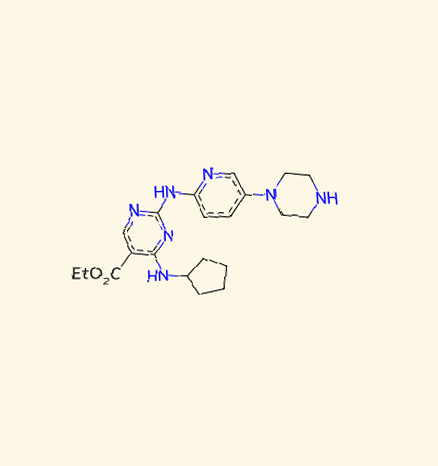 CCOC(=O)c1cnc(Nc2ccc(N3CCNCC3)cn2)nc1NC1CCCC1